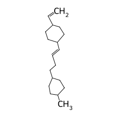 C=CC1CCC(C=CCCC2CCC(C)CC2)CC1